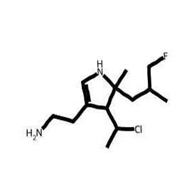 CC(CF)CC1(C)NC=C(CCN)C1C(C)Cl